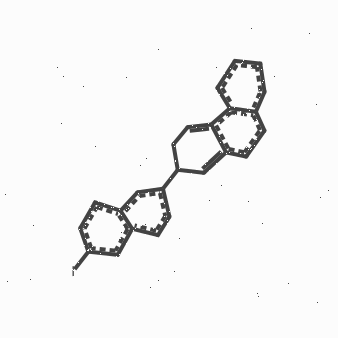 Ic1ccc2cc(C3C=c4ccc5ccccc5c4=CC3)ccc2c1